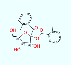 Cc1ccccc1C(=O)OC1(C(=O)c2ccccc2C)O[C@H](CO)[C@@H](O)[C@H]1O